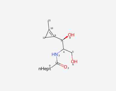 CCCCCCCC(=O)NC(CO)[C@H](O)C1=C(C)C1